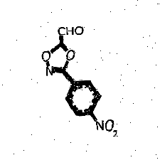 O=CC1ON=C(c2ccc([N+](=O)[O-])cc2)O1